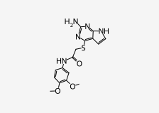 COc1ccc(NC(=O)CSc2nc(N)nc3[nH]ccc23)cc1OC